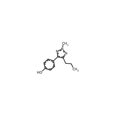 CCCc1nn(C)nc1-c1ccc(O)cc1